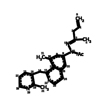 C=CC/C(C)=N/N(C(C)=O)c1cc(C)c2c(Cc3cccnc3C)nccc2c1